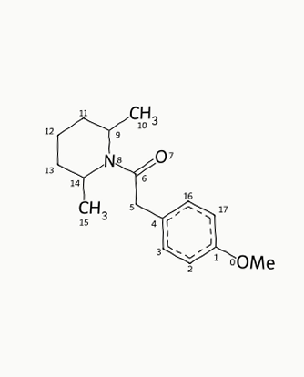 COc1ccc(CC(=O)N2C(C)CCCC2C)cc1